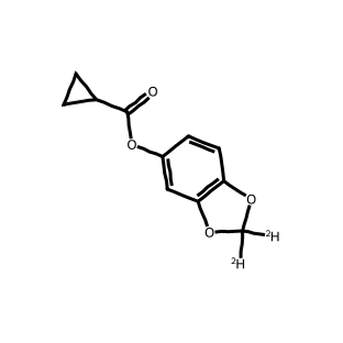 [2H]C1([2H])Oc2ccc(OC(=O)C3CC3)cc2O1